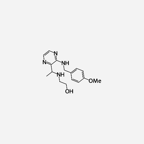 COc1ccc(CNc2nccnc2C(C)NCCO)cc1